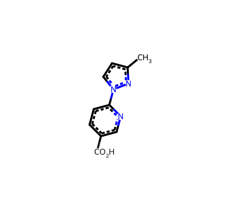 Cc1ccn(-c2ccc(C(=O)O)cn2)n1